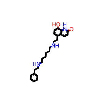 O=c1ccc2c(CCNCCCCCCNCCc3ccccc3)ccc(O)c2[nH]1